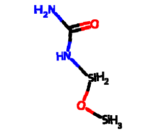 NC(=O)N[SiH2]O[SiH3]